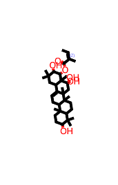 C/C=C(/C)C(=O)OC1C(O)C(C)(C)CC2C3=CCC4C5(C)CCC(O)C(C)(C)C5CCC4(C)C3(C)CC(O)C21CO